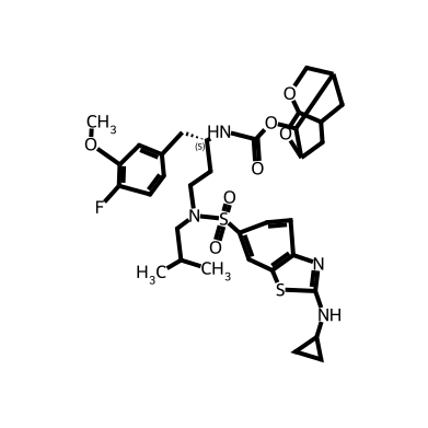 COc1cc(C[C@@H](CCN(CC(C)C)S(=O)(=O)c2ccc3nc(NC4CC4)sc3c2)NC(=O)OC2C3COC4OC2CC4C3)ccc1F